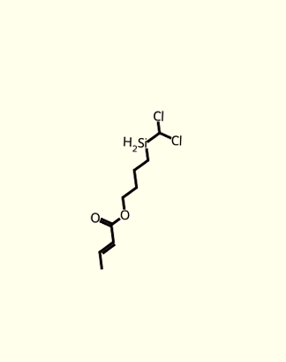 CC=CC(=O)OCCCC[SiH2]C(Cl)Cl